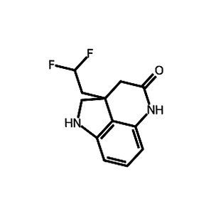 O=C1CC2(CC(F)F)CNc3cccc(c32)N1